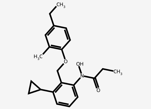 CCC(=O)N(O)c1cccc(C2CC2)c1COc1ccc(CC)cc1C